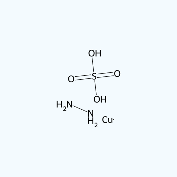 NN.O=S(=O)(O)O.[Cu]